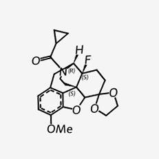 COc1ccc2c3c1OC1C4(CC[C@@]5(F)[C@@H](C2)N(C(=O)C2CC2)CC[C@]315)OCCO4